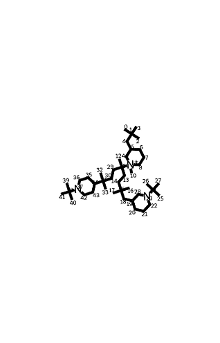 CC(C)(C)CC1CCC[N+](C)(C(C)(CCC(C)(C)CC2CCCN(C(C)(C)C)C2)CCC(C)(C)C2CCN(C(C)(C)C)CC2)C1